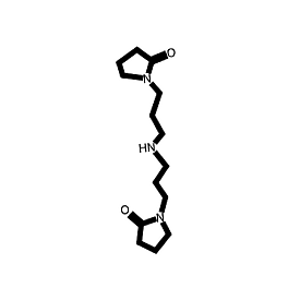 O=C1CCCN1CCCNCCCN1CCCC1=O